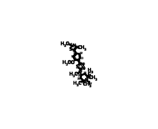 COc1cc(-c2sc(C)nc2C)ccc1-c1nnc(N(C)C2CC(C)(C)N(I)C(C)(C)C2)s1